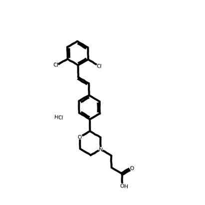 Cl.O=C(O)CCN1CCOC(c2ccc(/C=C/c3c(Cl)cccc3Cl)cc2)C1